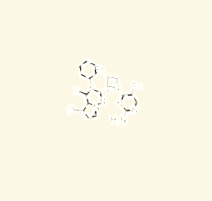 CCC1CN(c2nc(N)ncc2C(C)=O)[C@@H]1c1nn2ccc(Cl)c2c(=O)n1-c1ccccc1